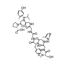 CC(C)C[C@H](NC(=O)CNC(=O)CNC(=O)[C@H](Cc1ccccc1)NC(=O)[C@H](Cc1cnc[nH]1)NC(=O)CNC(=O)[C@@H](N)[C@@H](C)O)C(=O)N[C@@H](Cc1ccc(O)cc1)C(=O)N1CCC[C@H]1C(=O)O